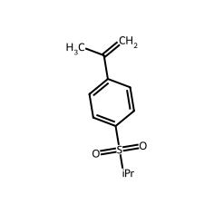 C=C(C)c1ccc(S(=O)(=O)C(C)C)cc1